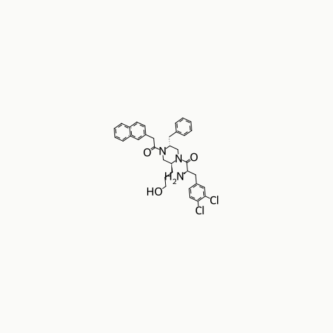 N[C@H](Cc1ccc(Cl)c(Cl)c1)C(=O)N1C[C@@H](Cc2ccccc2)N(C(=O)Cc2ccc3ccccc3c2)C[C@@H]1CCCO